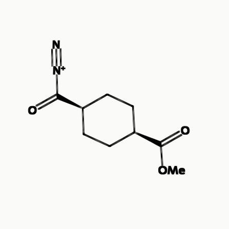 COC(=O)[C@H]1CC[C@@H](C(=O)[N+]#N)CC1